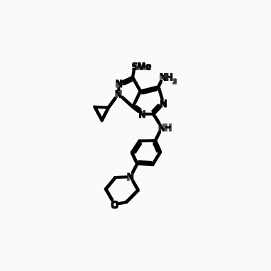 CSc1nn(C2CC2)c2nc(Nc3ccc(N4CCOCC4)cc3)nc(N)c12